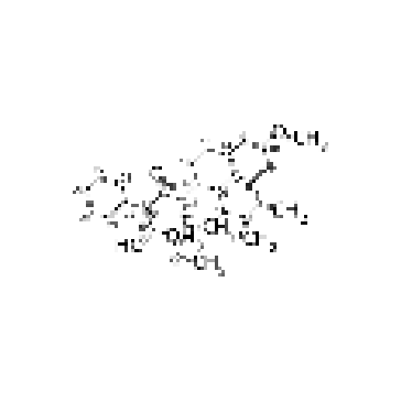 C=CC(=C)C(C)C1c2ccc(OC)cc2CCC1C(C)C(=O)N(c1ccccc1)C(O)OCC